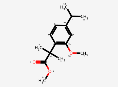 COC(=O)C(C)(C)c1ccc(C(C)C)cc1OC